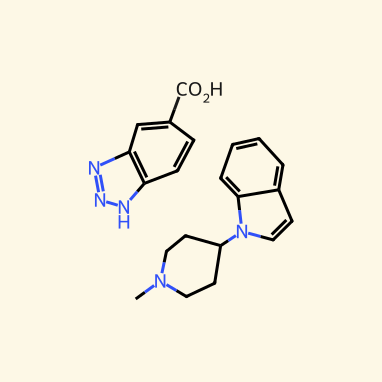 CN1CCC(n2ccc3ccccc32)CC1.O=C(O)c1ccc2[nH]nnc2c1